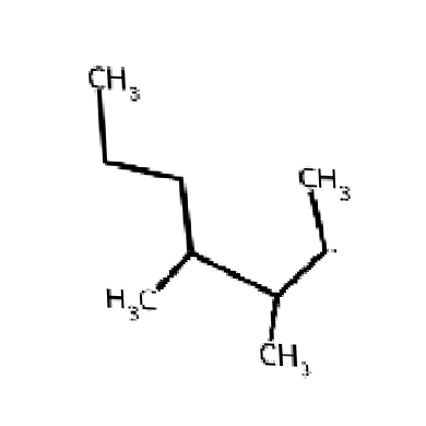 C[CH]C(C)C(C)CCC